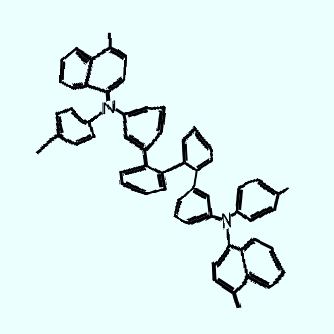 Cc1ccc(N(c2cccc(-c3ccccc3-c3ccccc3-c3cccc(N(c4ccc(C)cc4)c4ccc(C)c5ccccc45)c3)c2)c2ccc(C)c3ccccc23)cc1